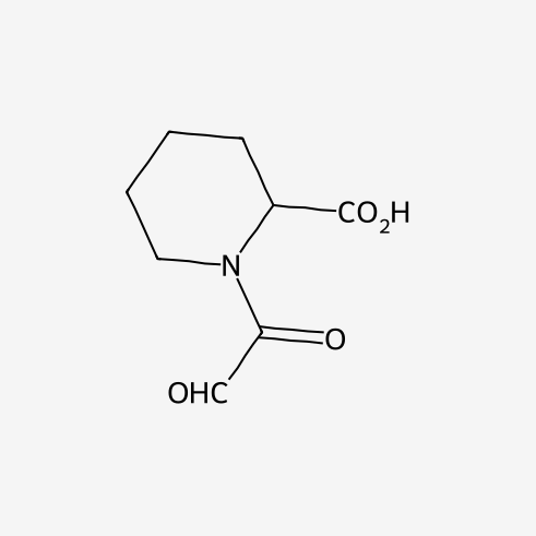 O=CC(=O)N1CCCCC1C(=O)O